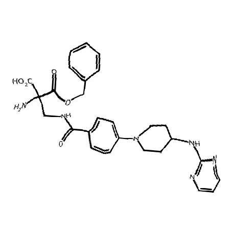 NC(CNC(=O)c1ccc(N2CCC(Nc3ncccn3)CC2)cc1)(C(=O)O)C(=O)OCc1ccccc1